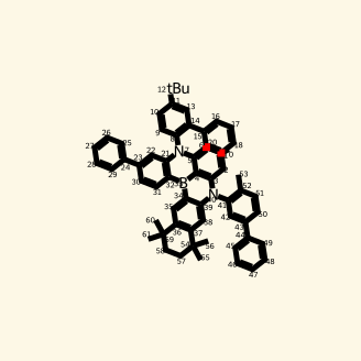 Cc1cc2c3c(c1)N(c1ccc(C(C)(C)C)cc1-c1ccccc1)c1cc(-c4ccccc4)ccc1B3c1cc3c(cc1N2c1cc(-c2ccccc2)ccc1C)C(C)(C)CCC3(C)C